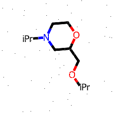 CC(C)OCC1CN(C(C)C)CCO1